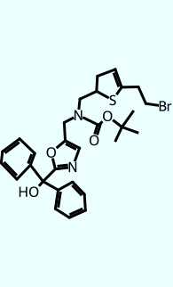 CC(C)(C)OC(=O)N(Cc1cnc(C(O)(c2ccccc2)c2ccccc2)o1)CC1CC=C(CCBr)S1